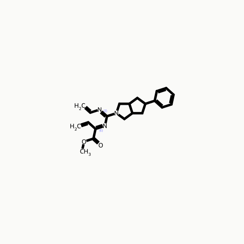 C=C/N=C(\N=C(/C=C)C(=O)OC)N1CC2CC(c3ccccc3)CC2C1